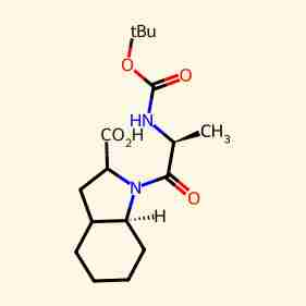 C[C@H](NC(=O)OC(C)(C)C)C(=O)N1C(C(=O)O)CC2CCCC[C@@H]21